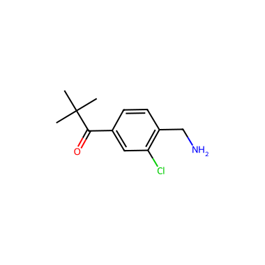 CC(C)(C)C(=O)c1ccc(CN)c(Cl)c1